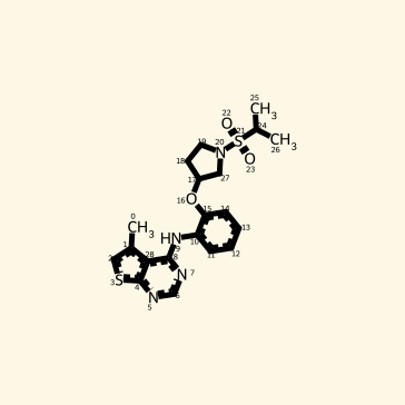 Cc1csc2ncnc(Nc3ccccc3OC3CCN(S(=O)(=O)C(C)C)C3)c12